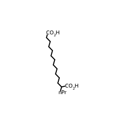 CCCC(CCCCCCCCCCCC(=O)O)C(=O)O